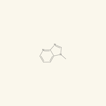 Cn1cnc2ncccc21